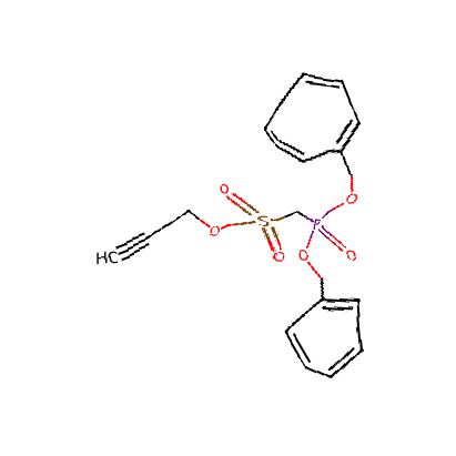 C#CCOS(=O)(=O)CP(=O)(Oc1ccccc1)Oc1ccccc1